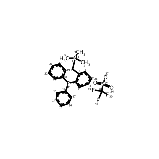 C[N+](C)(C)Cc1ccccc1P(c1ccccc1)c1ccccc1.O=S(=O)([O-])C(F)(F)F